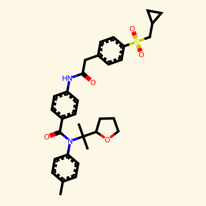 Cc1ccc(N(C(=O)c2ccc(NC(=O)Cc3ccc(S(=O)(=O)CC4CC4)cc3)cc2)C(C)(C)C2CCCO2)cc1